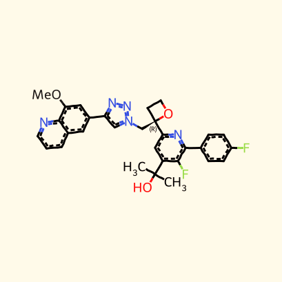 COc1cc(-c2cn(C[C@@]3(c4cc(C(C)(C)O)c(F)c(-c5ccc(F)cc5)n4)CCO3)nn2)cc2cccnc12